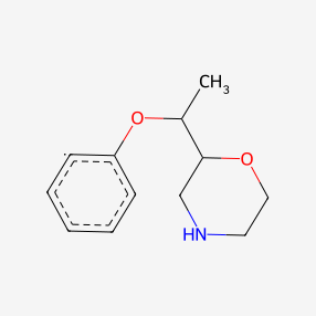 CC(Oc1[c]cccc1)C1CNCCO1